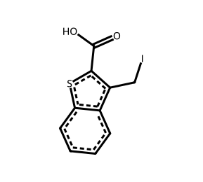 O=C(O)c1sc2ccccc2c1CI